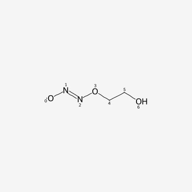 [O]N=NOCCO